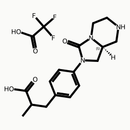 CC(Cc1ccc(N2C[C@@H]3CNCCN3C2=O)cc1)C(=O)O.O=C(O)C(F)(F)F